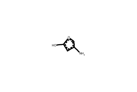 Nc1coc(O)c1